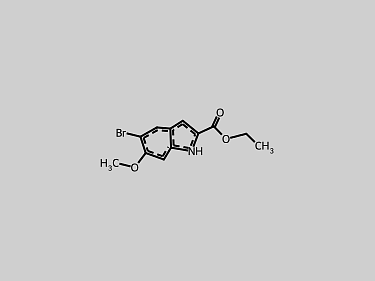 CCOC(=O)c1cc2cc(Br)c(OC)cc2[nH]1